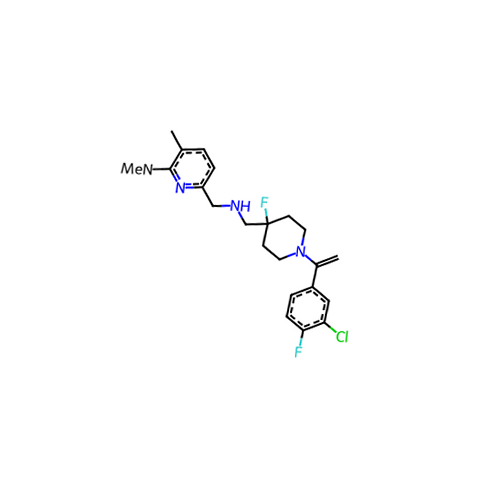 C=C(c1ccc(F)c(Cl)c1)N1CCC(F)(CNCc2ccc(C)c(NC)n2)CC1